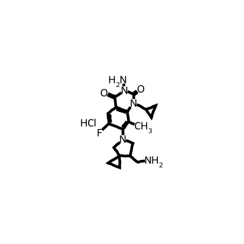 Cc1c(N2CC(CN)C3(CC3)C2)c(F)cc2c(=O)n(N)c(=O)n(C3CC3)c12.Cl